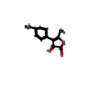 CC1=C(c2ccc(C)cc2)C(=O)C(=O)O1